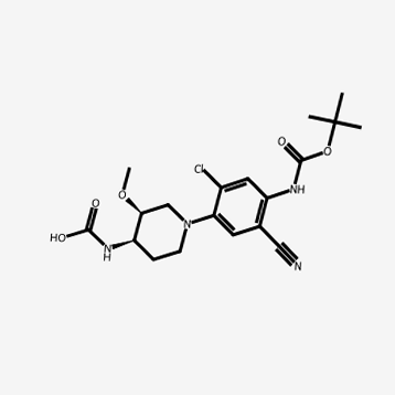 CO[C@H]1CN(c2cc(C#N)c(NC(=O)OC(C)(C)C)cc2Cl)CC[C@H]1NC(=O)O